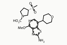 COc1ncc(C2CCOCC2)c2sc(N)nc12.CS(=O)(=O)[C@H]1CCN(C(=O)O)C1